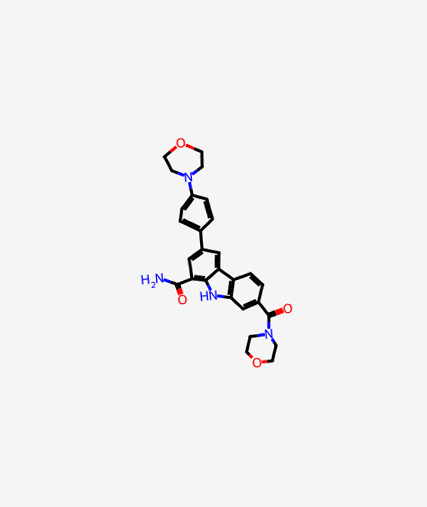 NC(=O)c1cc(-c2ccc(N3CCOCC3)cc2)cc2c1[nH]c1cc(C(=O)N3CCOCC3)ccc12